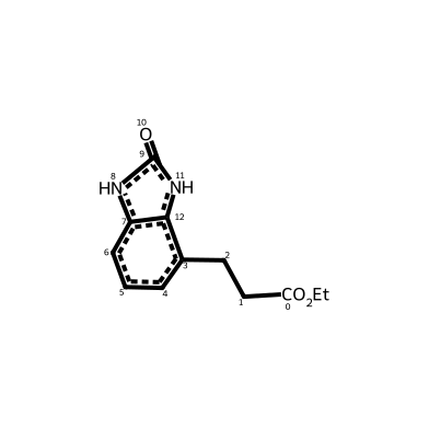 CCOC(=O)CCc1cccc2[nH]c(=O)[nH]c12